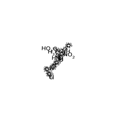 CN(CCC(CSc1ccccc1)Nc1ccc(S(=O)(=O)NC(=O)c2ccc(N3CCN(Cc4ccccc4-c4ccc(Cl)cc4)CC3)cc2)cc1[N+](=O)[O-])CC(=O)O